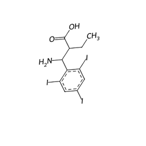 CCC(C(=O)O)C(N)c1c(I)cc(I)cc1I